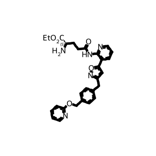 CCOC(=O)[C@@H](N)CCC(=O)Nc1ncccc1-c1cc(Cc2ccc(COc3ccccn3)cc2)no1